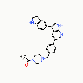 CC(=O)N1CCN(Cc2ccc(-c3cnc4[nH]cc(-c5ccc6c(c5)CCN6)c4c3)cc2)CC1